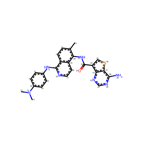 Cc1ccc2c(Nc3ccc(N(C)C)cc3)nccc2c1NC(=O)c1csc2c(N)ncnc12